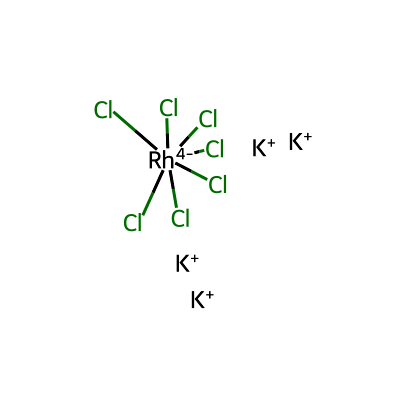 [Cl][Rh-4]([Cl])([Cl])([Cl])([Cl])([Cl])[Cl].[K+].[K+].[K+].[K+]